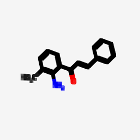 Nc1c(C(=O)O)cccc1C(=O)C=Cc1ccccc1